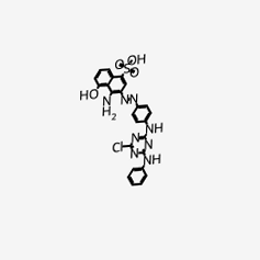 Nc1c(N=Nc2ccc(Nc3nc(Cl)nc(Nc4ccccc4)n3)cc2)cc(S(=O)(=O)O)c2cccc(O)c12